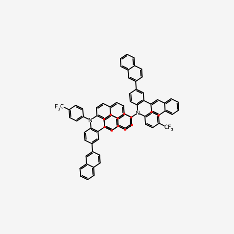 FC(F)(F)c1ccc(N(C2=C3C=CC4=C5C(=CC=C(C=C2)C35)C(N(c2ccc(C(F)(F)F)cc2)c2ccc(-c3ccc5ccccc5c3)cc2-c2ccc3ccccc3c2)C=C4)c2ccc(-c3ccc4ccccc4c3)cc2-c2ccc3ccccc3c2)cc1